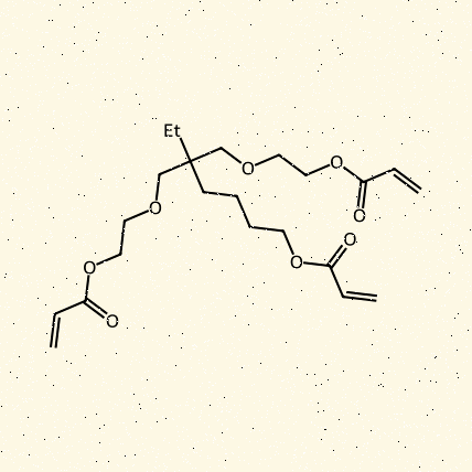 C=CC(=O)OCCCCC(CC)(COCCOC(=O)C=C)COCCOC(=O)C=C